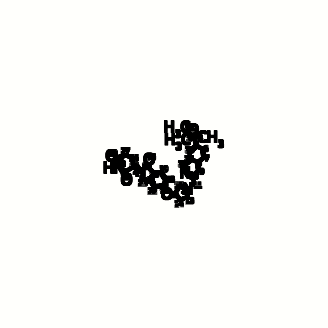 COC(C)(C)c1ccc2cc(CN3CCC(Oc4ccc5c(c4)CN(C4CCC(=O)NC4=O)C5=O)C3)ncc2c1